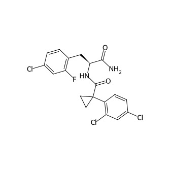 NC(=O)[C@H](Cc1ccc(Cl)cc1F)NC(=O)C1(c2ccc(Cl)cc2Cl)CC1